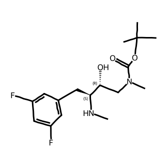 CN[C@@H](Cc1cc(F)cc(F)c1)[C@H](O)CN(C)C(=O)OC(C)(C)C